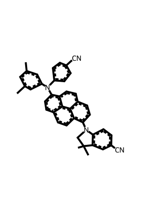 Cc1cc(C)cc(N(c2ccc(C#N)cc2)c2ccc3ccc4c(N5CC(C)(C)c6cc(C#N)ccc65)ccc5ccc2c3c54)c1